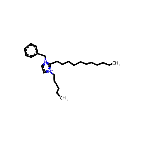 CCCCCCCCCCCc1n(Cc2ccccc2)cc[n+]1CCCCC